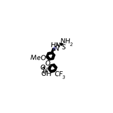 COc1cc(/C=N/NC(N)=S)ccc1Oc1ccc(C(F)(F)F)cc1[N+](=O)O